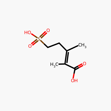 CC(CCS(=O)(=O)O)=C(C)C(=O)O